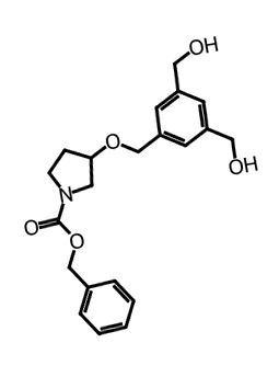 O=C(OCc1ccccc1)N1CCC(OCc2cc(CO)cc(CO)c2)C1